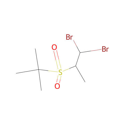 CC(C(Br)Br)S(=O)(=O)C(C)(C)C